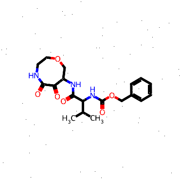 CC(C)C(NC(=O)OCc1ccccc1)C(=O)NC1COCCNC(=O)C1=O